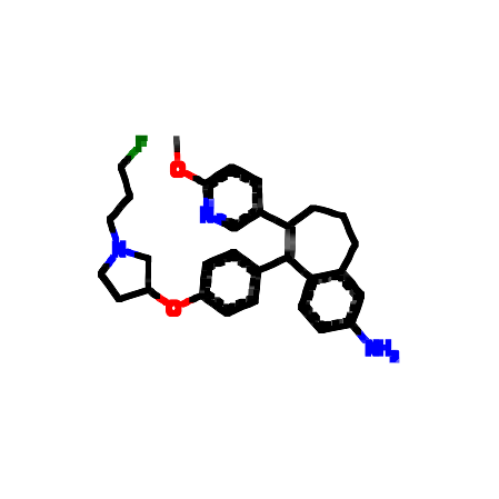 COc1ccc(C2=C(c3ccc(OC4CCN(CCCF)C4)cc3)c3ccc(N)cc3CCC2)cn1